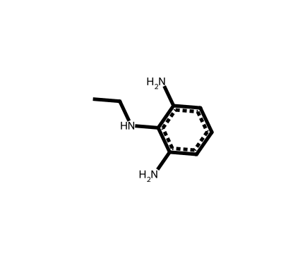 CCNc1c(N)cccc1N